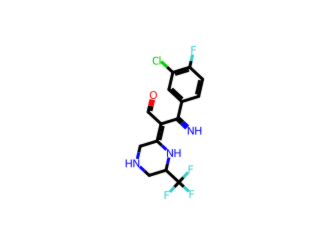 N=C(/C(C=O)=C1/CNCC(C(F)(F)F)N1)c1ccc(F)c(Cl)c1